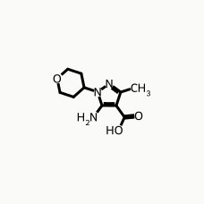 Cc1nn(C2CCOCC2)c(N)c1C(=O)O